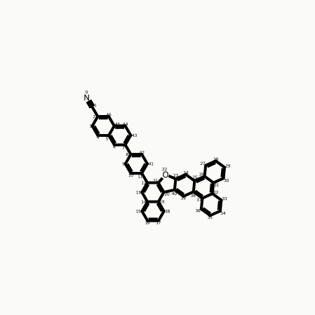 N#Cc1ccc2cc(-c3ccc(-c4cc5ccccc5c5c4oc4cc6c7ccccc7c7ccccc7c6cc45)cc3)ccc2c1